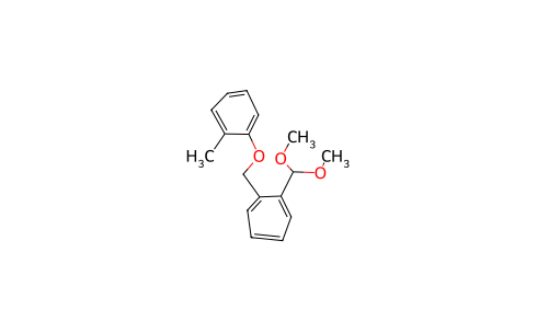 COC(OC)c1ccccc1COc1ccccc1C